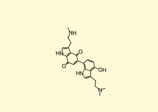 CNCCc1c[nH]c2c1C(=O)C(c1ccc(O)c3c(CCN(C)C)c[nH]c13)=CC2=O